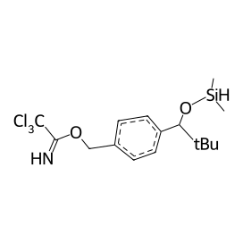 C[SiH](C)OC(c1ccc(COC(=N)C(Cl)(Cl)Cl)cc1)C(C)(C)C